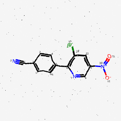 N#Cc1ccc(-c2ncc([N+](=O)[O-])cc2Br)cc1